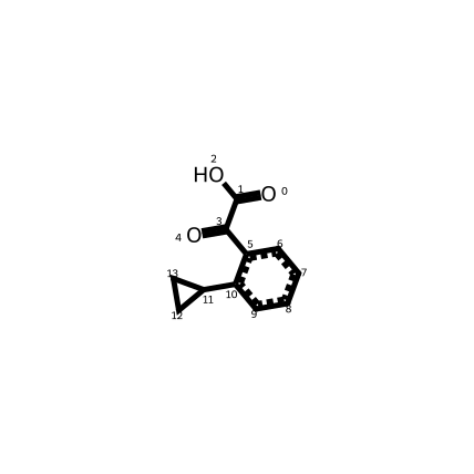 O=C(O)C(=O)c1ccccc1C1CC1